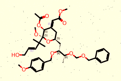 COC(=O)/C=C1\C[C@@H](C[C@@H](OCc2ccc(OC)cc2)[C@@H](C)OCOCc2ccccc2)O[C@@](OC)(C(C)(C)/C=C/CO)[C@H]1OC(C)=O